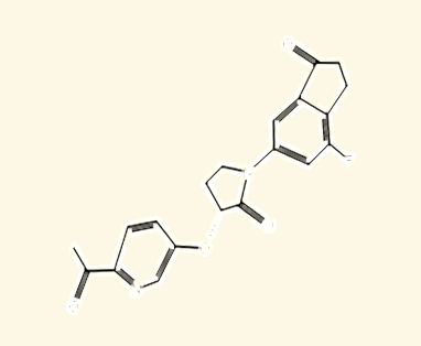 CC(=O)c1ccc(O[C@@H]2CCN(c3cc(F)c4c(c3)C(=O)CC4)C2=O)cn1